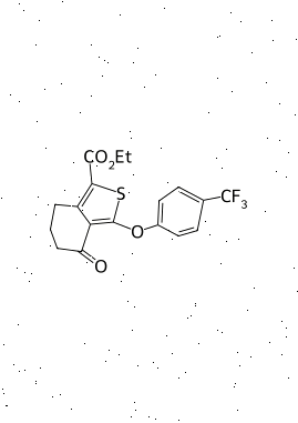 CCOC(=O)c1sc(Oc2ccc(C(F)(F)F)cc2)c2c1CCCC2=O